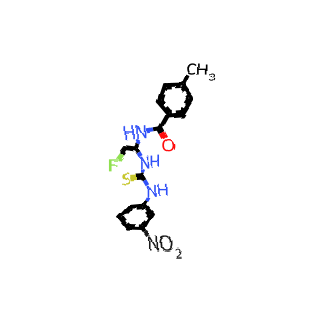 Cc1ccc(C(=O)NC(CF)NC(=S)Nc2cccc([N+](=O)[O-])c2)cc1